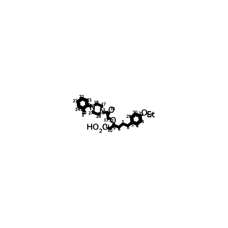 CCOc1ccc(CCCC(CC(=O)O)OCC(=O)N2CCN(c3ccccc3F)CC2)cc1